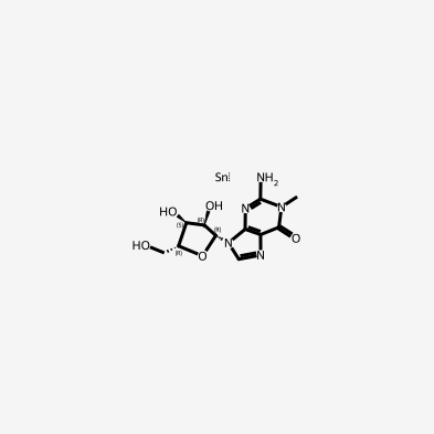 Cn1c(N)nc2c(ncn2[C@@H]2O[C@H](CO)[C@@H](O)[C@H]2O)c1=O.[Sn]